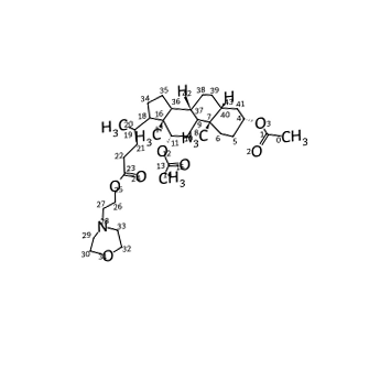 CC(=O)O[C@@H]1CC[C@]2(C)C3C[C@H](OC(C)=O)[C@]4(C)C(C(C)CCC(=O)OCCN5CCOCC5)CCC4[C@@H]3CC[C@@H]2C1